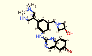 CN(C)/C=C(\C=N)c1cc(CN2CC(O)C2)cc(Nc2ncc3cc(Br)ccc3n2)c1